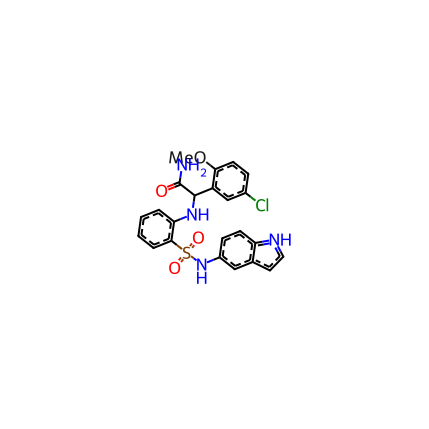 COc1ccc(Cl)cc1C(Nc1ccccc1S(=O)(=O)Nc1ccc2[nH]ccc2c1)C(N)=O